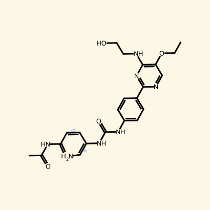 C=C(/C=C\C(=C/N)NC(=O)Nc1ccc(-c2ncc(OCC)c(NCCO)n2)cc1)NC(C)=O